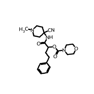 CN1CCC(C#N)(NC(=O)C(CCc2ccccc2)OC(=O)N2CCOCC2)CC1